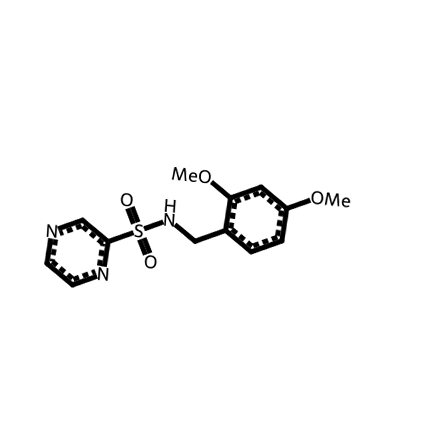 COc1ccc(CNS(=O)(=O)c2cnccn2)c(OC)c1